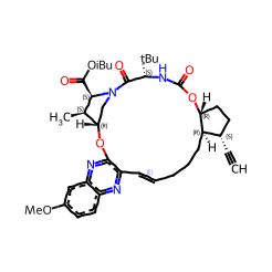 C#C[C@H]1CC[C@H]2OC(=O)N[C@@H](C(C)(C)C)C(=O)N3C[C@H](Oc4nc5cc(OC)ccc5nc4/C=C/CCC[C@H]12)[C@@H](C)[C@H]3C(=O)OCC(C)C